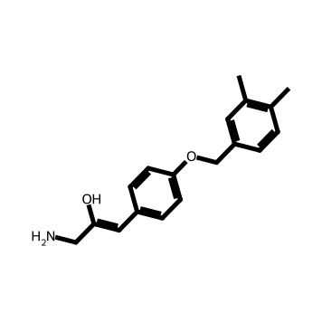 Cc1ccc(COc2ccc(C=C(O)CN)cc2)cc1C